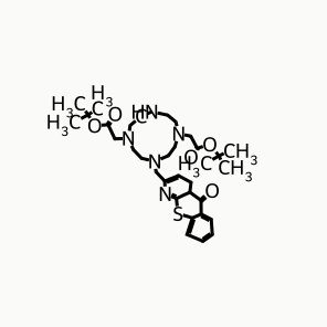 CC(C)(C)OC(=O)CN1CCNCCN(CC(=O)OC(C)(C)C)CCN(CC2=CCC3C(=O)c4ccccc4SC3=N2)CC1